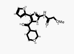 COCC(=O)Nc1nc(-c2ccco2)c(C(=O)C2CCOCC2)s1